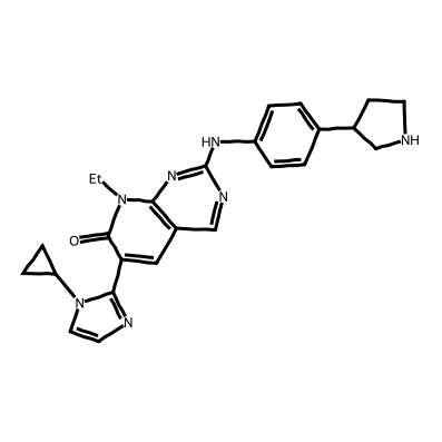 CCn1c(=O)c(-c2nccn2C2CC2)cc2cnc(Nc3ccc(C4CCNC4)cc3)nc21